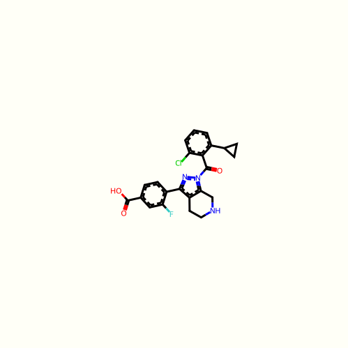 O=C(O)c1ccc(-c2nn(C(=O)c3c(Cl)cccc3C3CC3)c3c2CCNC3)c(F)c1